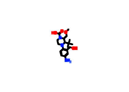 COCC1[C@@H](C(C)(C)C)N(c2ccc(N)cc2CO)CCN1C(=O)O